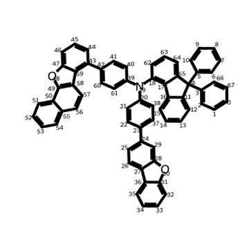 c1ccc(C2(c3ccccc3)c3ccccc3-c3c(N(c4ccc(-c5ccc6c(c5)oc5ccccc56)cc4)c4ccc(-c5cccc6oc7c8ccccc8ccc7c56)cc4)cccc32)cc1